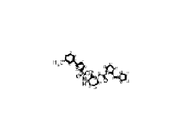 Cc1cccc(-c2ccc(S(=O)(=O)N[C@H]3CCCN(CC(=O)N4CCC[C@H]4CN4CCCC4)C3=O)s2)c1